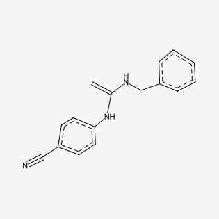 C=C(NCc1ccccc1)Nc1ccc(C#N)cc1